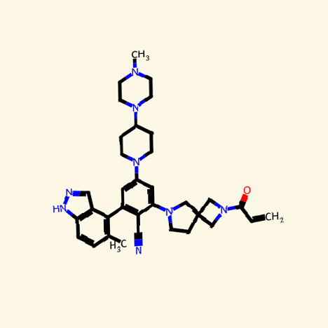 C=CC(=O)N1CC2(CCN(c3cc(N4CCC(N5CCN(C)CC5)CC4)cc(-c4c(C)ccc5[nH]ncc45)c3C#N)C2)C1